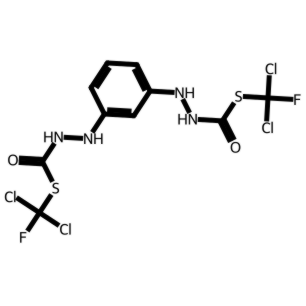 O=C(NNc1cccc(NNC(=O)SC(F)(Cl)Cl)c1)SC(F)(Cl)Cl